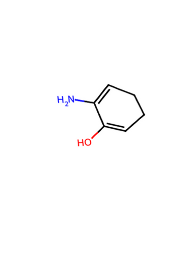 NC1=CCCC=C1O